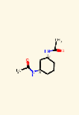 CC(=O)N[C@@H]1CCC[C@@H](NC(C)=O)C1